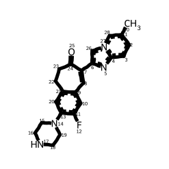 Cc1ccc2nc(C3=Cc4cc(F)c(N5CCNCC5)cc4CCC3=O)cn2c1